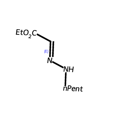 CCCCCN/N=C/C(=O)OCC